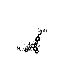 Cc1ccc(S(=O)(=O)N(c2cc3c(cc2OCc2ccc(C=CC(=O)O)cc2)CCC3)C(C)C)o1